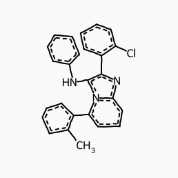 Cc1ccccc1-c1cccc2nc(-c3ccccc3Cl)c(Nc3ccccc3)n12